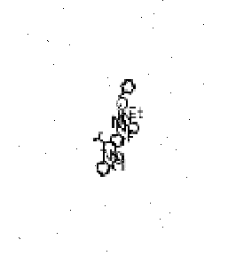 C=C(C)C1CN(c2ccccc2Cl)C(=O)c2cc(F)c(-n3nc(COCc4ccccc4)n(CC)c3=O)cc21